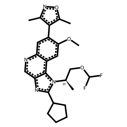 COc1cc2c(cc1-c1c(C)noc1C)ncc1nc(C3CCCC3)n([C@H](C)COC(F)F)c12